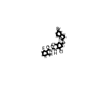 O=C(NC(=O)c1c(F)cccc1F)Nc1c(Cl)cc(Oc2ccc3cc(Br)ccc3n2)cc1Cl